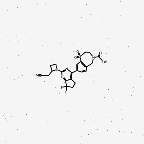 N#CCC1CCN1c1nc(-c2ccc3c(c2)S(=O)(=O)CCN(C(=O)O)C3)c2c(n1)C(F)(F)CC2